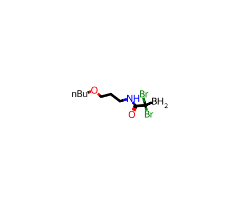 BC(Br)(Br)C(=O)NCCCOCCCC